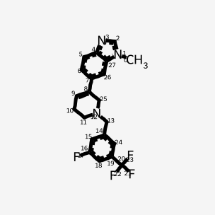 Cn1cnc2ccc(C3=CCCN(Cc4cc(F)cc(C(F)(F)F)c4)C3)cc21